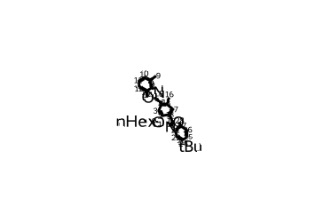 CCCCCCOc1cc(-c2nc3c(C)cccc3o2)c(C)cc1-c1nc2cc(C(C)(C)C)ccc2o1